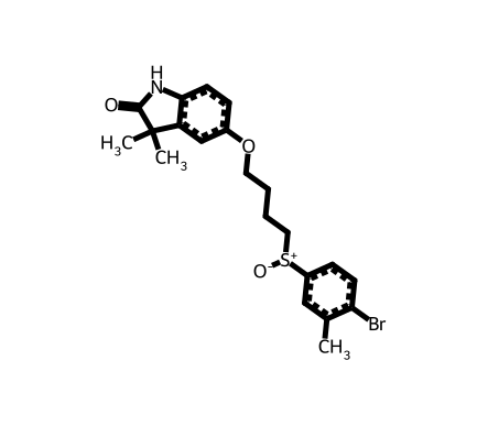 Cc1cc([S+]([O-])CCCCOc2ccc3c(c2)C(C)(C)C(=O)N3)ccc1Br